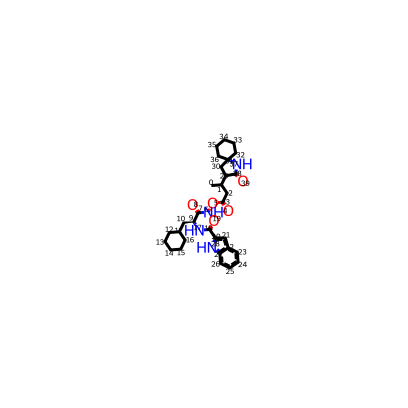 CC(CC(=O)ONC(=O)[C@H](CC1CCCCC1)NC(=O)c1cc2ccccc2[nH]1)C1CC2(CCCCC2)NC1=O